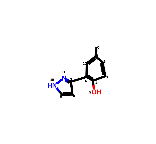 Cc1ccc(O)c(-c2cc[nH]n2)c1